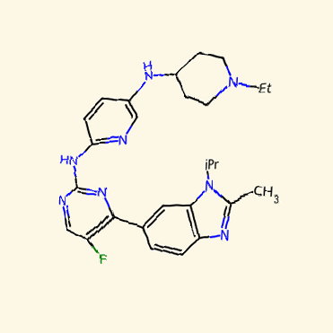 CCN1CCC(Nc2ccc(Nc3ncc(F)c(-c4ccc5nc(C)n(C(C)C)c5c4)n3)nc2)CC1